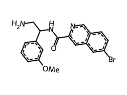 COc1cccc(C(CN)NC(=O)c2cc3cc(Br)ccc3cn2)c1